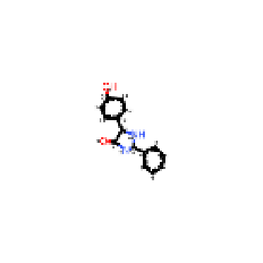 O=C1[N]C(c2ccccc2)NC1c1ccc(O)cc1